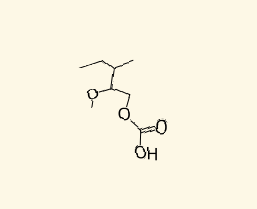 CCC(C)C(COC(=O)O)OC